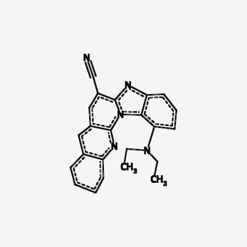 CCN(CC)c1cccc2nc3c(C#N)cc4cc5ccccc5nc4n3c12